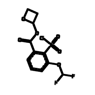 O=C(OC1CCO1)c1cccc(OC(F)F)c1S(=O)(=O)Cl